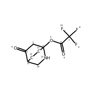 O=C1CC2(OC(=O)C(F)(F)F)CCC1CN2